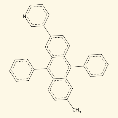 Cc1ccc2c(-c3ccccc3)c3cc(-c4cccnc4)ccc3c(-c3ccccc3)c2c1